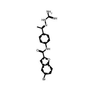 C/C(=N\NC(=N)N)c1ccc(NC(=O)c2cc3cc(Br)ccc3o2)cc1